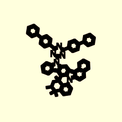 CC1CC2(C)c3c(cccc3C1(C)C)-n1c3ccc4ccccc4c3c3cc4c(c2c31)c1ccccc1n4-c1nc(-c2ccc(-c3ccccc3)cc2)nc(-c2ccc(-c3ccccc3)cc2)n1